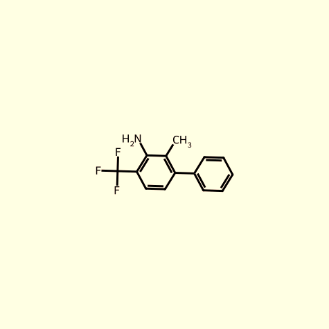 Cc1c(-c2ccccc2)ccc(C(F)(F)F)c1N